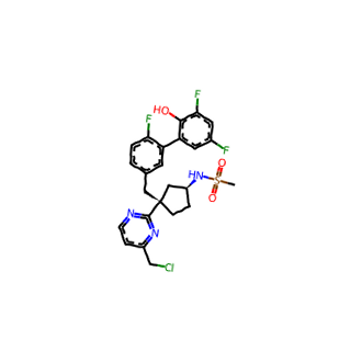 CS(=O)(=O)N[C@H]1CC[C@](Cc2ccc(F)c(-c3cc(F)cc(F)c3O)c2)(c2nccc(CCl)n2)C1